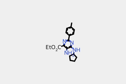 CCOC(=O)c1nc(-c2ccc(C)cc2)nc(NC2CCCC2)c1N